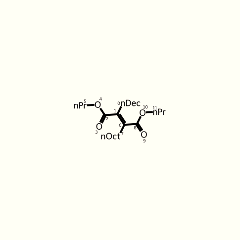 CCCCCCCCCCC(C(=O)OCCC)=C(CCCCCCCC)C(=O)OCCC